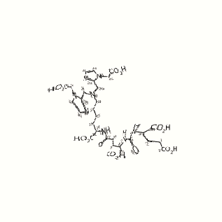 O=C(O)CCC(NC(=O)NC(CCC(=O)NC(CCCCN(Cc1nccn1CC(=O)O)Cc1nccn1CC(=O)O)C(=O)O)C(=O)O)C(=O)O